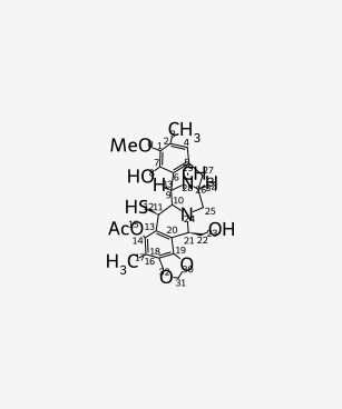 COc1c(C)cc2c(c1O)[C@H]1C3[C@H](S)c4c(OC(C)=O)c(C)c5c(c4[C@H](CO)N3C[C@@H](C2)N1C)OCO5